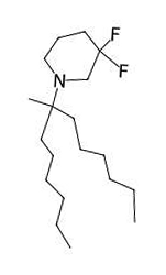 CCCCCCC(C)(CCCCCC)N1CCCC(F)(F)C1